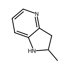 CC1Cc2ncccc2N1